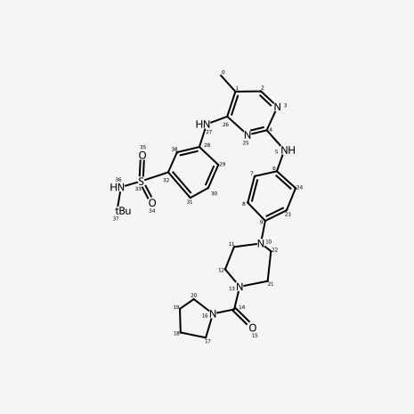 Cc1cnc(Nc2ccc(N3CCN(C(=O)N4CCCC4)CC3)cc2)nc1Nc1cccc(S(=O)(=O)NC(C)(C)C)c1